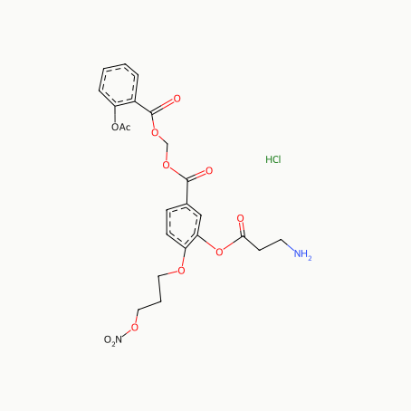 CC(=O)Oc1ccccc1C(=O)OCOC(=O)c1ccc(OCCCO[N+](=O)[O-])c(OC(=O)CCN)c1.Cl